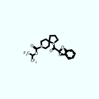 O=C(OC(C(F)(F)F)C(F)(F)F)N1CCC2(CCCN2C(=O)c2nc3ccccc3o2)CC1